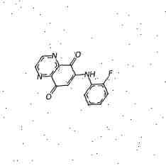 O=C1C=C(Nc2ccccc2F)C(=O)c2nccnc21